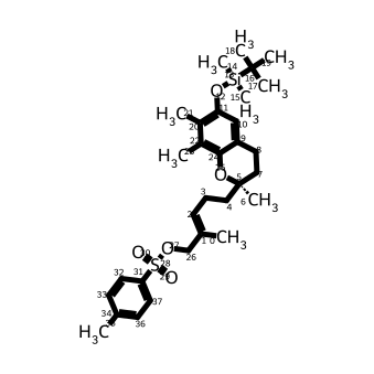 C/C(=C\CC[C@]1(C)CCc2cc(O[Si](C)(C)C(C)(C)C)c(C)c(C)c2O1)COS(=O)(=O)c1ccc(C)cc1